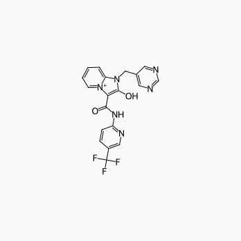 O=C(Nc1ccc(C(F)(F)F)cn1)c1c(O)n(Cc2cncnc2)c2cccc[n+]12